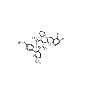 CSc1ccc(-c2nc(C(F)(F)F)ccc2NC(=O)C2=C(O)[C@@]3(C)CCCN3N(Cc3cccc(F)c3F)C2=O)cn1